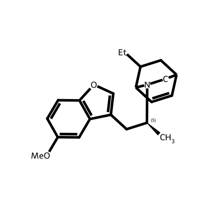 CCC1CC2C=CC1N([C@@H](C)Cc1coc3ccc(OC)cc13)C2